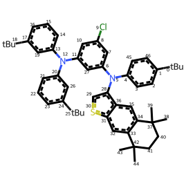 CC(C)(C)c1ccc(N(c2cc(Cl)cc(N(c3cccc(C(C)(C)C)c3)c3cccc(C(C)(C)C)c3)c2)c2csc3cc4c(cc23)C(C)(C)CCC4(C)C)cc1